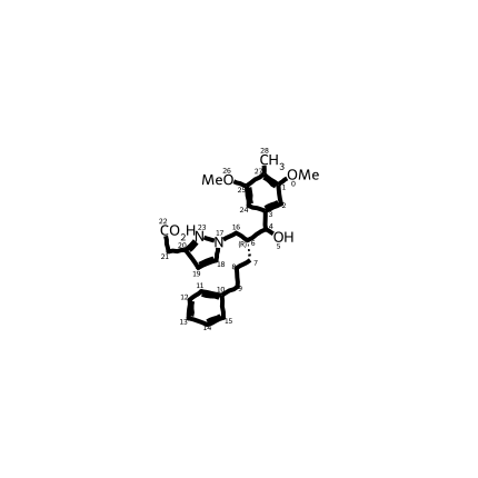 COc1cc(C(O)[C@H](CCCc2ccccc2)Cn2ccc(CC(=O)O)n2)cc(OC)c1C